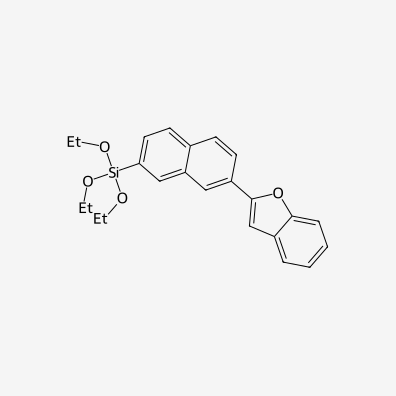 CCO[Si](OCC)(OCC)c1ccc2ccc(-c3cc4ccccc4o3)cc2c1